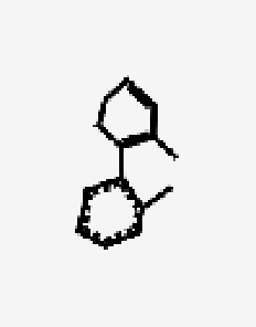 CC1=C(c2ccccc2C)[CH]CC=C1